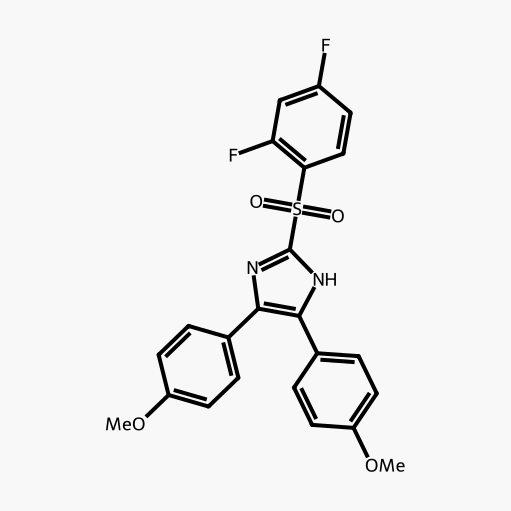 COc1ccc(-c2nc(S(=O)(=O)c3ccc(F)cc3F)[nH]c2-c2ccc(OC)cc2)cc1